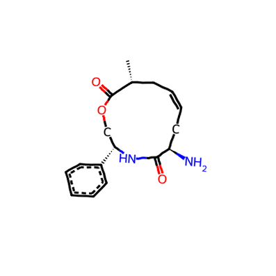 C[C@@H]1CC=CC[C@@H](N)C(=O)N[C@H](c2ccccc2)COC1=O